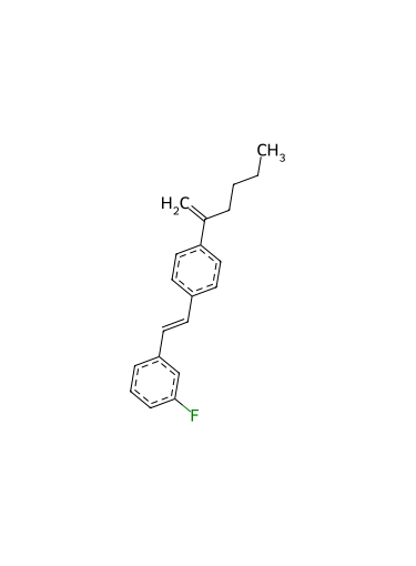 C=C(CCCC)c1ccc(/C=C/c2cccc(F)c2)cc1